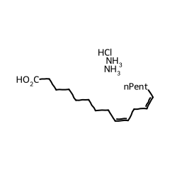 CCCCC/C=C\C/C=C\CCCCCCCC(=O)O.Cl.N.N